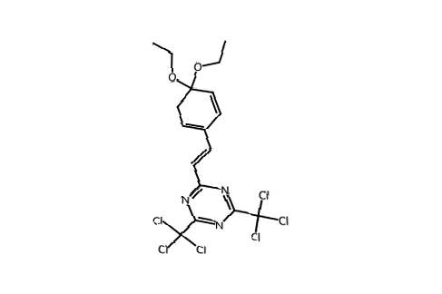 CCOC1(OCC)C=CC(C=Cc2nc(C(Cl)(Cl)Cl)nc(C(Cl)(Cl)Cl)n2)=CC1